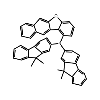 CC1(C)c2ccccc2-c2ccc(N(c3ccc4c(c3)C(C)(C)c3ccccc3-4)c3cccc4oc5cc6ccccc6cc5c34)cc21